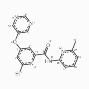 CCc1cc(Oc2cncnc2)cc(C(=O)Nc2cccc(C)n2)n1